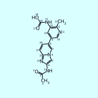 CC(=O)Nc1cn2cc(-c3cnc(C)c(NC(=O)O)c3)ccc2n1